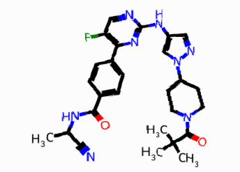 CC(C#N)NC(=O)c1ccc(-c2nc(Nc3cnn(C4CCN(C(=O)C(C)(C)C)CC4)c3)ncc2F)cc1